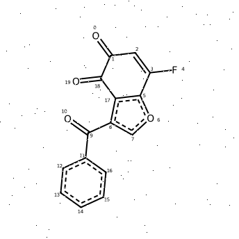 O=C1C=C(F)c2occ(C(=O)c3ccccc3)c2C1=O